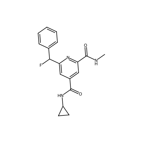 CNC(=O)c1cc(C(=O)NC2CC2)cc(C(F)c2ccccc2)n1